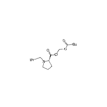 CC(C)CN1CCC[C@@H]1C(=O)OCOC(=O)C(C)(C)C